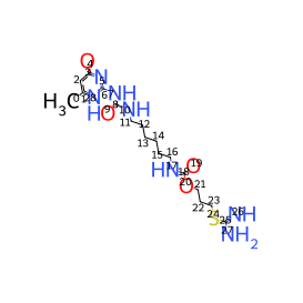 Cc1cc(=O)nc(NC(=O)NCCCCCCNC(=O)OCCCSC(=N)N)[nH]1